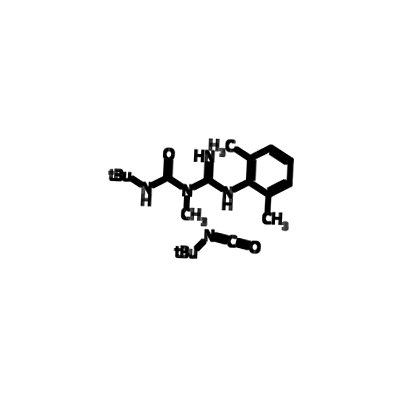 CC(C)(C)N=C=O.Cc1cccc(C)c1NC(=N)N(C)C(=O)NC(C)(C)C